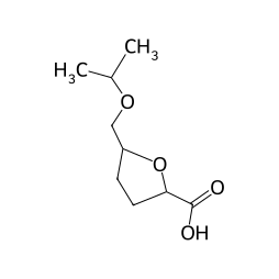 CC(C)OCC1CCC(C(=O)O)O1